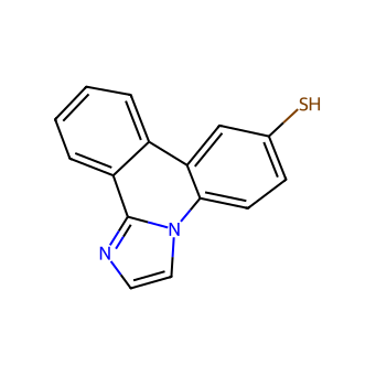 Sc1ccc2c(c1)c1ccccc1c1nccn21